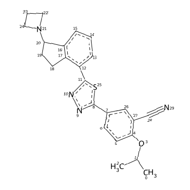 CC(C)Oc1ccc(-c2nnc(-c3cccc4c3CCC4N3CCC3)s2)cc1C#N